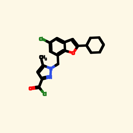 Cc1cc(C(=O)Cl)nn1Cc1cc(Cl)cc2cc(C3CCCCC3)oc12